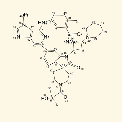 CNC(=O)c1cc(Nc2nc(-c3ccc4c(c3)N(C3CC(N5CCCCC5)C3)C(=O)C43CCN(C(=O)C(C)(C)O)CC3)cc3ncn(C(C)C)c23)ccc1C